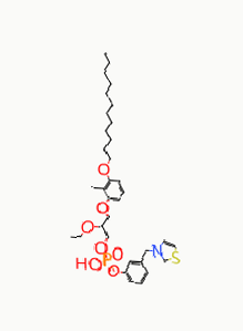 CCCCCCCCCCCCOc1cccc(OCC(COP(=O)(O)Oc2cccc(CN3C=CSC3)c2)OCC)c1C